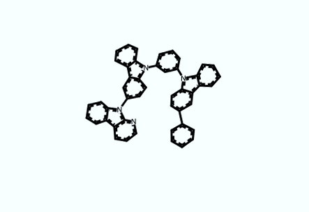 c1ccc(-c2ccc3c(c2)c2ccccc2n3-c2cccc(-n3c4ccccc4c4cc(-n5c6ccccc6c6cccnc65)ccc43)c2)cc1